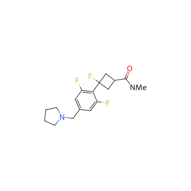 CNC(=O)C1CC(F)(c2c(F)cc(CN3CCCC3)cc2F)C1